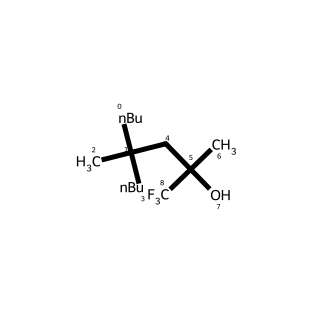 CCCCC(C)(CCCC)CC(C)(O)C(F)(F)F